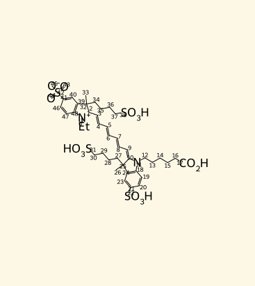 CC[N+]1=C(/C=C/C=C/C=C/C=C2/N(CCCCCC(=O)O)c3ccc(S(=O)(=O)O)cc3C2(C)CCCCS(=O)(=O)O)C(C)(CCCCS(=O)(=O)O)c2cc(S(=O)(=O)[O-])ccc21